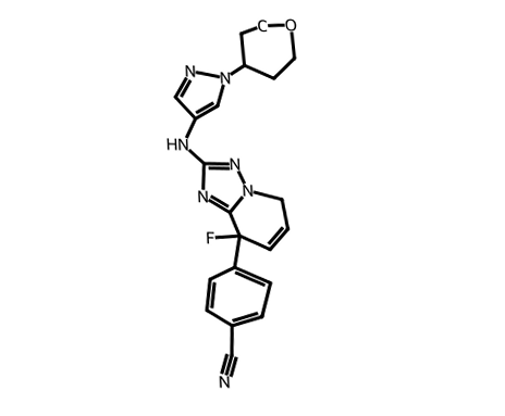 N#Cc1ccc(C2(F)C=CCn3nc(Nc4cnn(C5CCOCC5)c4)nc32)cc1